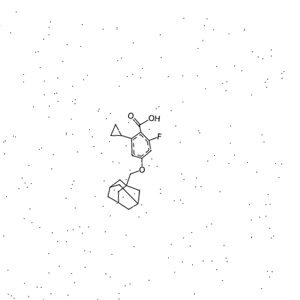 O=C(O)c1c(F)cc(OCC23CC4CC(CC(C4)C2)C3)cc1C1CC1